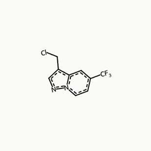 FC(F)(F)c1ccn2ncc(CCl)c2c1